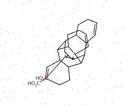 O=C(O)C1=CC2C(CC1)C1C3C=CCCC3C2C2C3C=C(C(=O)O)CCC3C1C1C=CCCC12